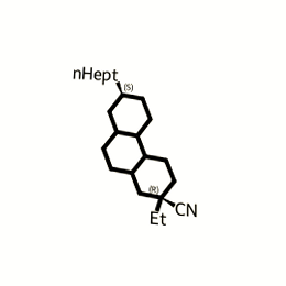 CCCCCCC[C@H]1CCC2C(CCC3C[C@@](C#N)(CC)CCC32)C1